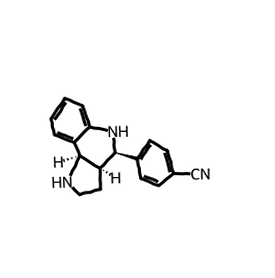 N#Cc1ccc([C@@H]2Nc3ccccc3[C@@H]3NCC[C@H]23)cc1